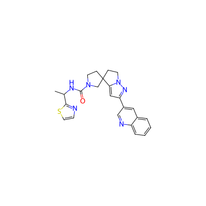 CC(NC(=O)N1CCC2(CCn3nc(-c4cnc5ccccc5c4)cc32)C1)c1nccs1